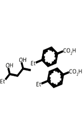 CCC(O)CC(C)O.CCc1ccc(C(=O)O)cc1.CCc1ccc(C(=O)O)cc1